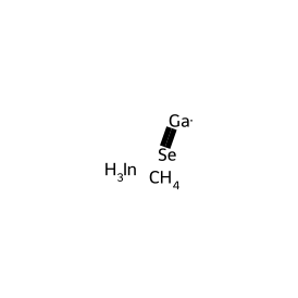 C.[Ga]=[Se].[InH3]